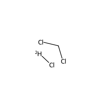 ClCCl.[2H]Cl